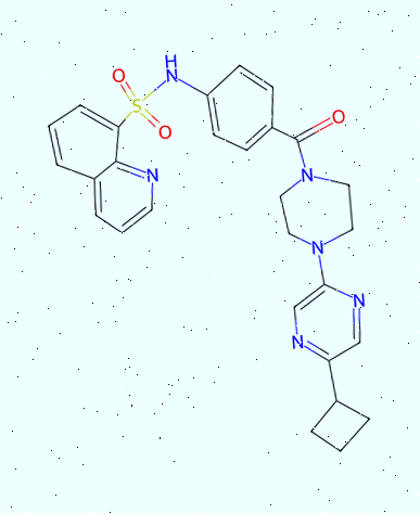 O=C(c1ccc(NS(=O)(=O)c2cccc3cccnc23)cc1)N1CCN(c2cnc(C3CCC3)cn2)CC1